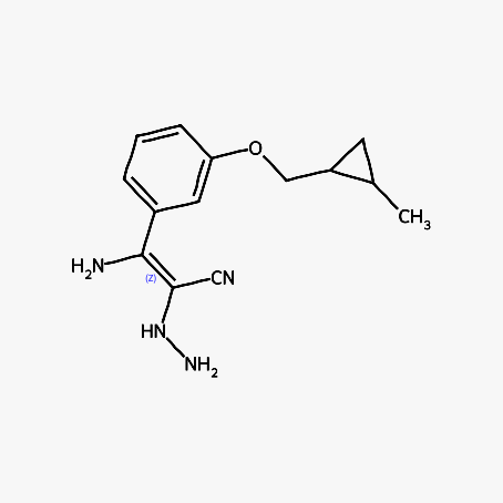 CC1CC1COc1cccc(/C(N)=C(\C#N)NN)c1